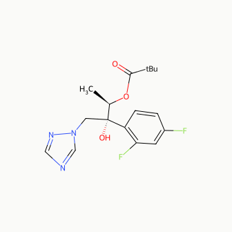 C[C@@H](OC(=O)C(C)(C)C)[C@](O)(Cn1cncn1)c1ccc(F)cc1F